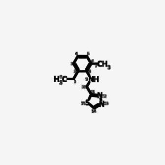 CCc1cccc(C)c1NCc1nncs1